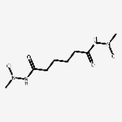 CN(Cl)NC(=O)CCCCC(=O)NN(C)Cl